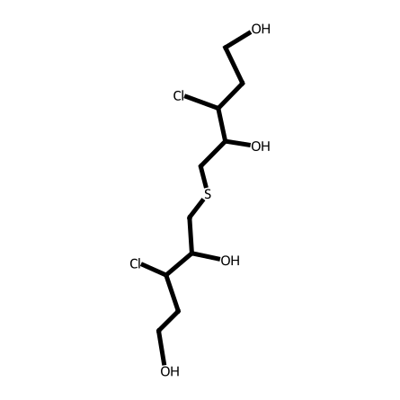 OCCC(Cl)C(O)CSCC(O)C(Cl)CCO